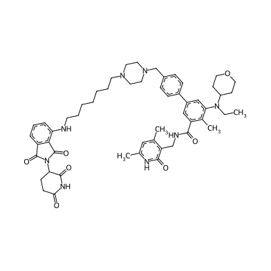 CCN(c1cc(-c2ccc(CN3CCN(CCCCCCCNc4cccc5c4C(=O)N(C4CCC(=O)NC4=O)C5=O)CC3)cc2)cc(C(=O)NCc2c(C)cc(C)[nH]c2=O)c1C)C1CCOCC1